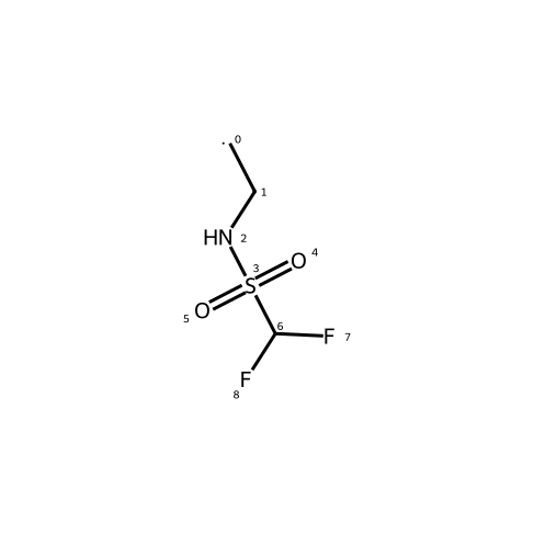 [CH2]CNS(=O)(=O)C(F)F